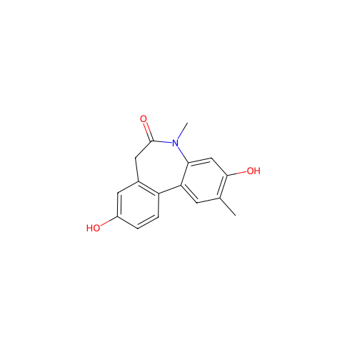 Cc1cc2c(cc1O)N(C)C(=O)Cc1cc(O)ccc1-2